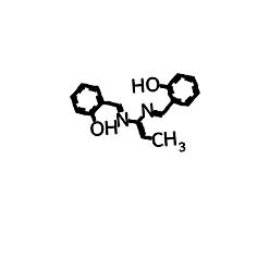 CC=C(N=Cc1ccccc1O)N=Cc1ccccc1O